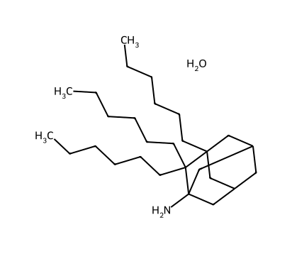 CCCCCCC12CC3CC(CC(N)(C3)C1(CCCCCC)CCCCCC)C2.O